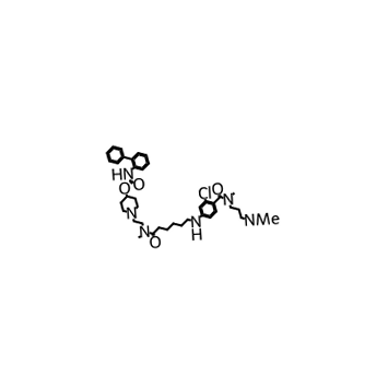 CNCCCN(C)C(=O)c1ccc(NCCCCCC(=O)N(C)CCN2CCC(OC(=O)Nc3ccccc3-c3ccccc3)CC2)cc1Cl